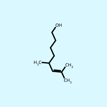 CC(C)=CC(C)CCCCO